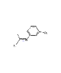 CC/C(C)=N/c1cccc(C(C)=O)c1